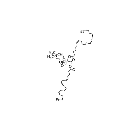 CC/C=C\C/C=C\C/C=C\C/C=C\C/C=C\CCCCCC(=O)O[C@H](COC(=O)CCC/C=C\C/C=C\C/C=C\C/C=C\C/C=C\CC)COP(=O)(O)OCC[N+](C)(C)C